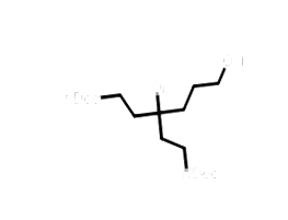 CCCCCCCCCCCCC(O)(CCCO)CCCCCCCCCCCC